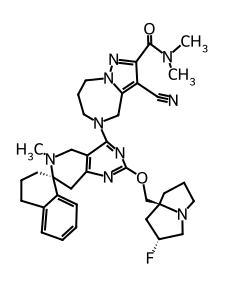 CN(C)C(=O)c1nn2c(c1C#N)CN(c1nc(OC[C@@]34CCCN3C[C@H](F)C4)nc3c1CN(C)[C@@]1(CCCc4ccccc41)C3)CCC2